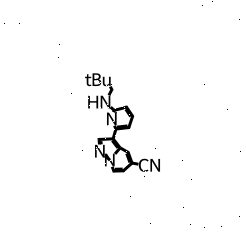 CC(C)(C)CNc1cccc(-c2cnn3ccc(C#N)cc23)n1